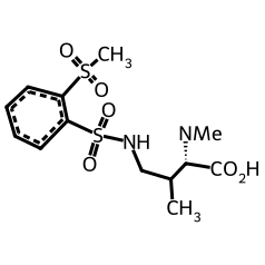 CN[C@H](C(=O)O)C(C)CNS(=O)(=O)c1ccccc1S(C)(=O)=O